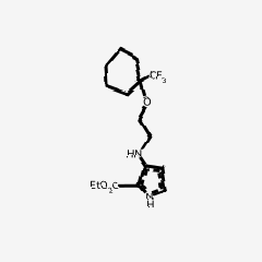 CCOC(=O)c1[nH]ccc1NCCOC1(C(F)(F)F)CCCCC1